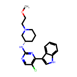 COCCN1CCC[C@H](Nc2ncc(Cl)c(-c3c[nH]c4ccccc34)n2)C1